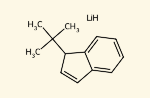 CC(C)(C)C1C=Cc2ccccc21.[LiH]